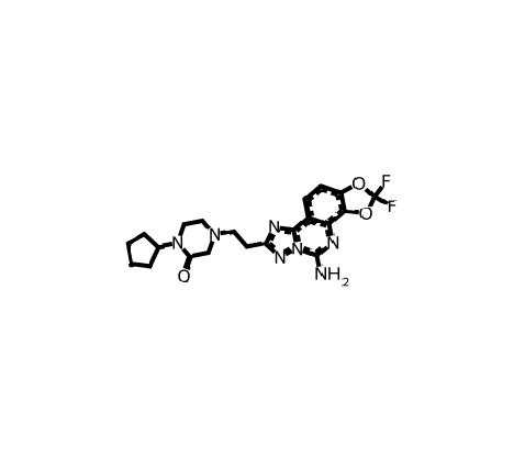 Nc1nc2c3c(ccc2c2nc(CCN4CCN(C5CCCC5)C(=O)C4)nn12)OC(F)(F)O3